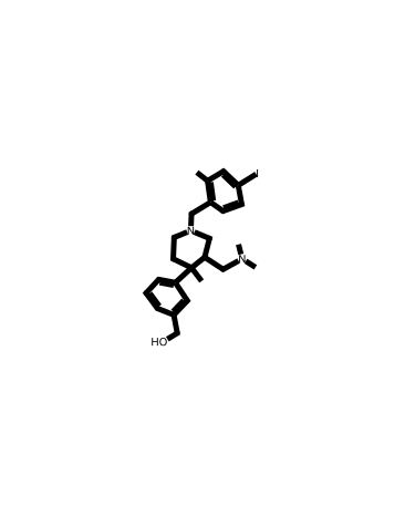 Cc1cc(I)ccc1CN1CCC(C)(c2cccc(CO)c2)C(CN(C)C)C1